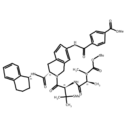 COC(=O)c1ccc(C(=O)Nc2ccc3c(c2)CN(C(=O)[C@@H](NC(=O)[C@H](C)N(C)C(=O)OC(C)(C)C)C(C)(C)SC)[C@H](C(=O)N[C@@H]2CCCc4ccccc42)C3)cc1